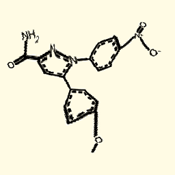 COc1ccc(-c2cc(C(N)=O)nn2-c2ccc([N+](=O)[O-])cc2)cc1